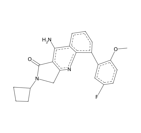 COc1ccc(F)cc1-c1cccc2c(N)c3c(nc12)CN(C1CCC1)C3=O